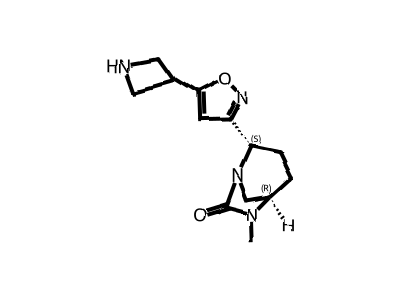 CN1C(=O)N2C[C@H]1CC[C@H]2c1cc(C2CNC2)on1